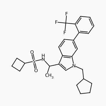 CC(NS(=O)(=O)C1CCC1)c1cn(CC2CCCC2)c2cc(-c3ccccc3C(F)(F)F)ccc12